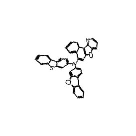 c1ccc2c(c1)oc1cc(N(c3ccc4c(c3)sc3ccccc34)c3cc4oc5cccnc5c4c4ccccc34)ccc12